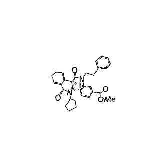 COC(=O)c1ccc([C@H]2[C@H](C(=O)NCCc3ccccc3)C3=CCCC=C3C(=O)N2C2CCCC2)cc1